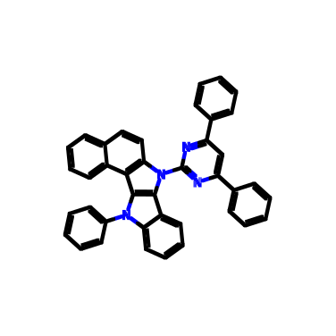 c1ccc(-c2cc(-c3ccccc3)nc(-n3c4ccc5ccccc5c4c4c3c3ccccc3n4-c3ccccc3)n2)cc1